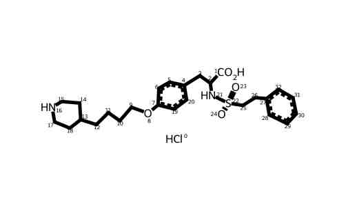 Cl.O=C(O)C(Cc1ccc(OCCCCC2CCNCC2)cc1)NS(=O)(=O)CCc1ccccc1